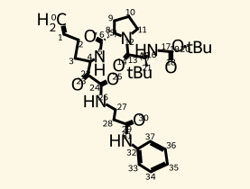 C=CCCC(NC(=O)[C@@H]1CCCN1C(=O)[C@@H](NC(=O)OC(C)(C)C)C(C)(C)C)C(=O)C(=O)NCCC(=O)Nc1ccccc1